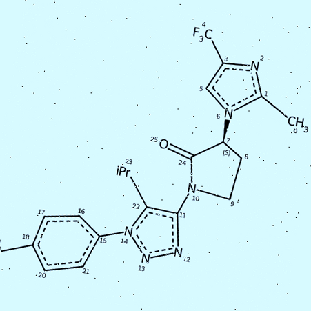 Cc1nc(C(F)(F)F)cn1[C@H]1CCN(c2nnn(-c3ccc(Cl)cc3)c2C(C)C)C1=O